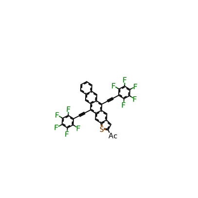 CC(=O)c1cc2cc3c(C#Cc4c(F)c(F)c(F)c(F)c4F)c4cc5ccccc5cc4c(C#Cc4c(F)c(F)c(F)c(F)c4F)c3cc2s1